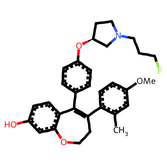 COc1ccc(C2=C(c3ccc(O[C@H]4CCN(CCCF)C4)cc3)c3ccc(O)cc3OCC2)c(C)c1